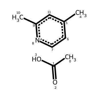 CC(=O)O.Cc1ccnc(C)c1